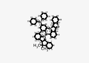 CC1(C)c2ccccc2-c2c1c1cccc3c1n2B1c2c-3cc(N(c3ccccc3)c3ccccc3)cc2-n2c3c1cccc3c1sc3ccccc3c12